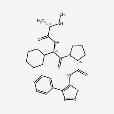 CN[C@@H](C)C(=O)N[C@@H](C(=O)N1CCC[C@@H]1C(=O)Nc1snnc1-c1ccccc1)C1CCCCC1